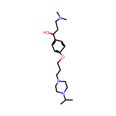 CC(C)N1CCN(CCCOc2ccc(C(O)CCN(C)C)cc2)CC1